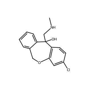 CNCC1(O)c2ccccc2COc2cc(Cl)ccc21